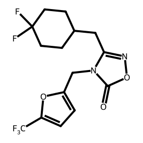 O=c1onc(CC2CCC(F)(F)CC2)n1Cc1ccc(C(F)(F)F)o1